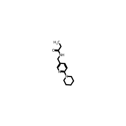 CCC(=O)NCc1ccc(N2CCCCC2)nc1